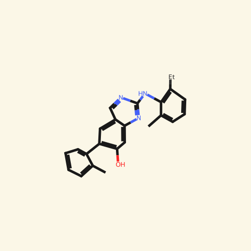 CCc1cccc(C)c1Nc1ncc2cc(-c3ccccc3C)c(O)cc2n1